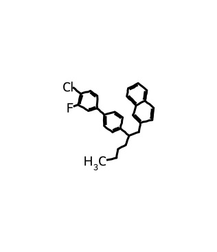 CCCCC(Cc1ccc2ccccc2c1)c1ccc(-c2ccc(Cl)c(F)c2)cc1